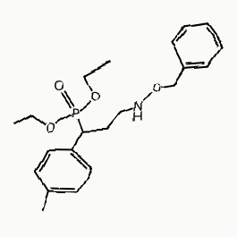 CCOP(=O)(OCC)C(CCNOCc1ccccc1)c1ccc(C)cc1